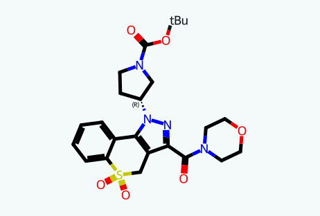 CC(C)(C)OC(=O)N1CC[C@@H](n2nc(C(=O)N3CCOCC3)c3c2-c2ccccc2S(=O)(=O)C3)C1